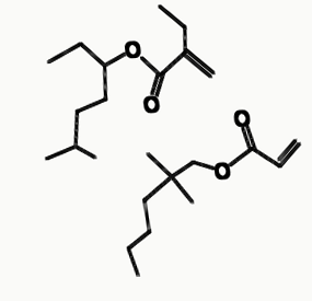 C=C(CC)C(=O)OC(CC)CCC(C)C.C=CC(=O)OCC(C)(C)CCCC